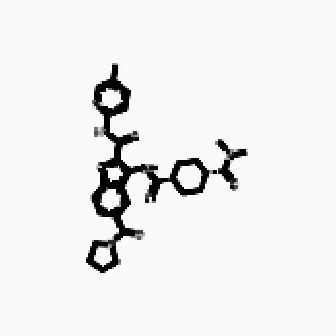 Cc1ccc(NC(=O)c2oc3ccc(C(=O)N4CCCC4)cc3c2NC(=O)[C@H]2CC[C@H](C(=O)N(C)C)CC2)nc1